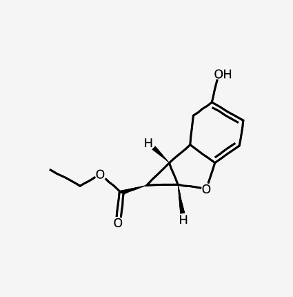 CCOC(=O)[C@@H]1[C@H]2OC3=CC=C(O)CC3[C@H]21